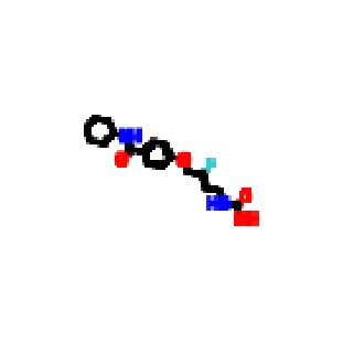 O=C(O)NCC=C(F)COc1ccc(C(=O)NC2CCCCC2)cc1